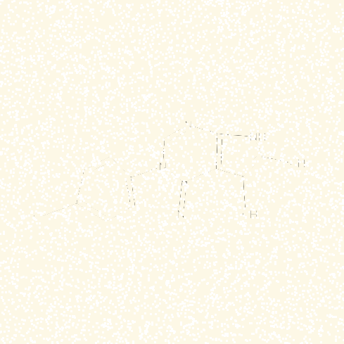 Cc1[nH]c2ncn(-c3ccc(Cl)cc3)c(=N)c2c1C